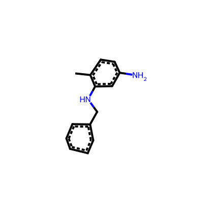 Cc1ccc(N)cc1NCc1ccccc1